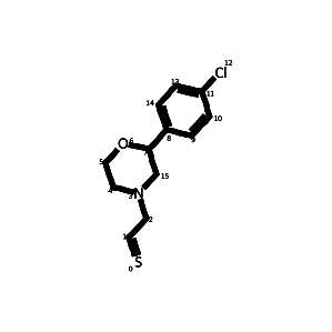 S=CCN1CCOC(c2ccc(Cl)cc2)C1